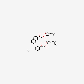 C=CC(C)(CCC=C(C)C)OC(=O)CC(=O)c1ccc2ccccc2c1.C=CC(C)CCCC(C)(C)OC(=O)CC(=O)c1ccc(OC)cc1